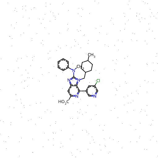 CC1CCC(Cn2c(N(C)c3ccccc3)nc3cc(C(=O)O)nc(-c4cncc(Cl)c4)c32)CC1